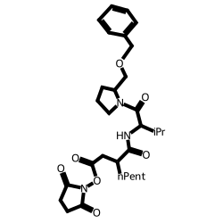 CCCCCC(CC(=O)ON1C(=O)CCC1=O)C(=O)NC(C(=O)N1CCCC1COCc1ccccc1)C(C)C